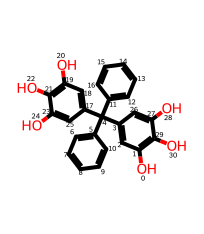 Oc1cc(C(c2ccccc2)(c2ccccc2)c2cc(O)c(O)c(O)c2)cc(O)c1O